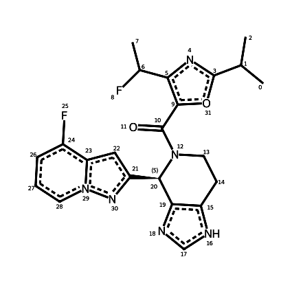 CC(C)c1nc(C(C)F)c(C(=O)N2CCc3[nH]cnc3[C@H]2c2cc3c(F)cccn3n2)o1